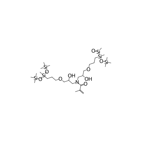 C=C(C)C(=O)N(CC(O)COCCC[Si](C)(O[Si](C)(C)C)O[Si](C)(C)C)CC(O)COCCC[Si](C)(O[Si](C)(C)C)[Si](C)=O